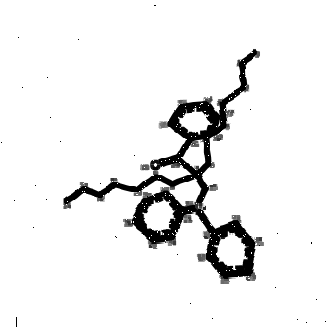 CCCCCCCC(CCCCCCC)(C[I+](c1ccccc1)c1ccccc1)C(=O)c1ccccc1